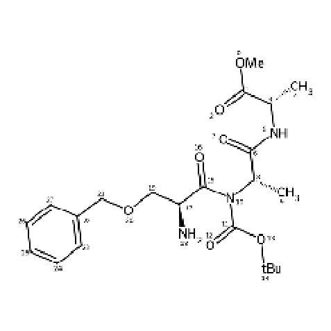 COC(=O)[C@H](C)NC(=O)[C@H](C)N(C(=O)OC(C)(C)C)C(=O)[C@@H](N)COCc1ccccc1